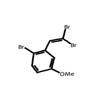 COc1ccc(Br)c(C=C(Br)Br)c1